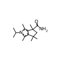 Cc1c2c(c(C)n1C(C)C)C(C)(C(N)=O)CC2(C)C